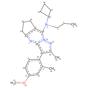 CCCN(c1c2c(nc3c(-c4ccc(OC)cc4C)c(C)nn13)CCC2)C1CCC1